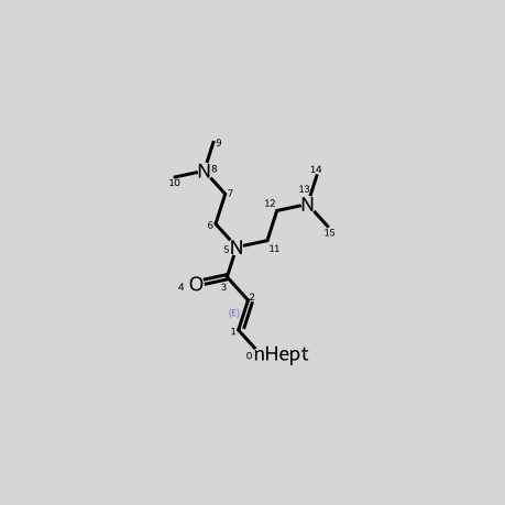 CCCCCCC/C=C/C(=O)N(CCN(C)C)CCN(C)C